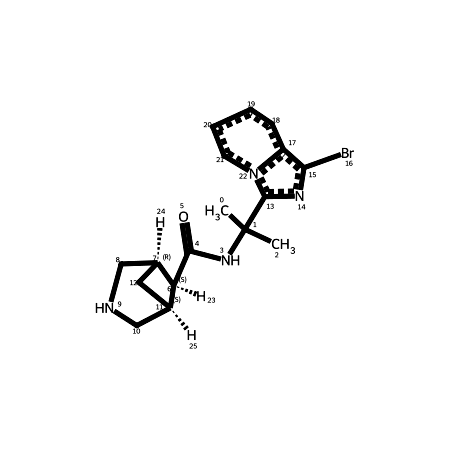 CC(C)(NC(=O)[C@@H]1[C@@H]2CNC[C@H]1C2)c1nc(Br)c2ccccn12